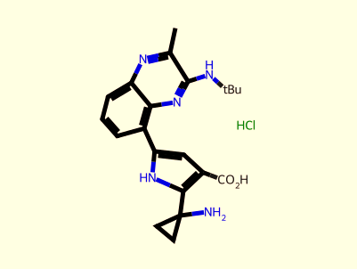 Cc1nc2cccc(-c3cc(C(=O)O)c(C4(N)CC4)[nH]3)c2nc1NC(C)(C)C.Cl